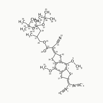 [C-]#[N+]C([N+]#[C-])=C1Sc2c(OC)c3c(c(OC)c2S1)SC(=C(C#N)C(=O)OCC(C)C[Si](C)(O[Si](C)(C)C)O[Si](C)(C)C)S3